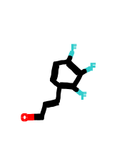 O=CC=Cc1ccc(F)c(F)c1F